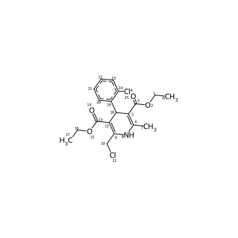 CCOC(=O)C1=C(C)NC(CCl)=C(C(=O)OCC)C1c1ccccc1Cl